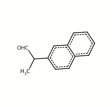 CC(C=O)c1ccc2ccccc2c1